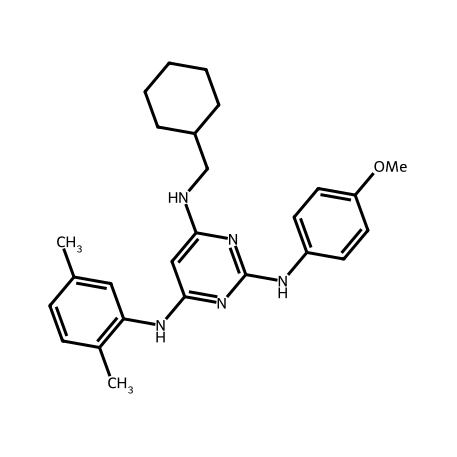 COc1ccc(Nc2nc(NCC3CCCCC3)cc(Nc3cc(C)ccc3C)n2)cc1